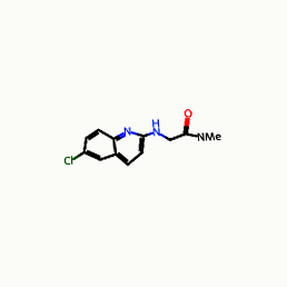 CNC(=O)CNc1ccc2cc(Cl)ccc2n1